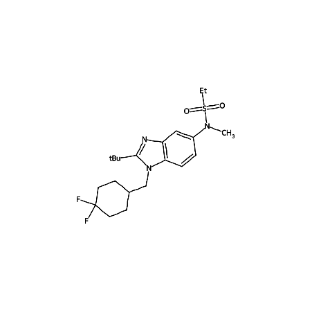 CCS(=O)(=O)N(C)c1ccc2c(c1)nc(C(C)(C)C)n2CC1CCC(F)(F)CC1